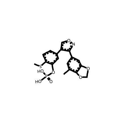 CSc1ccc(-c2conc2-c2cc(C)c3c(c2)OCO3)cc1OP(=O)(O)O